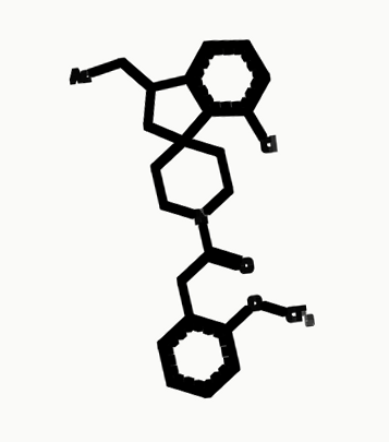 CC(=O)CC1CC2(CCN(C(=O)Cc3ccccc3OC(F)(F)F)CC2)c2c(Cl)cccc21